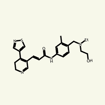 CCN(CCO)Cc1ccc(NC(=O)/C=C/C2=C(c3cnsc3)CCN=C2)cc1C